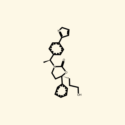 C[C@@H](c1ccc(C2=NCC=C2)cc1)N1CC[C@](CCCO)(c2ccccc2)OC1=O